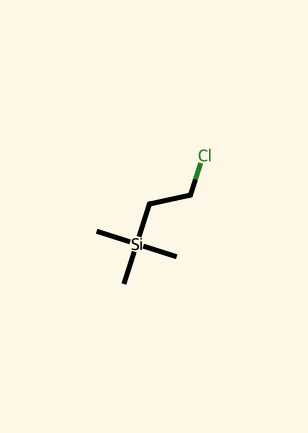 C[Si](C)(C)CCCl